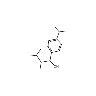 CC(C)c1ccc(C(O)C(C)C(C)C)nc1